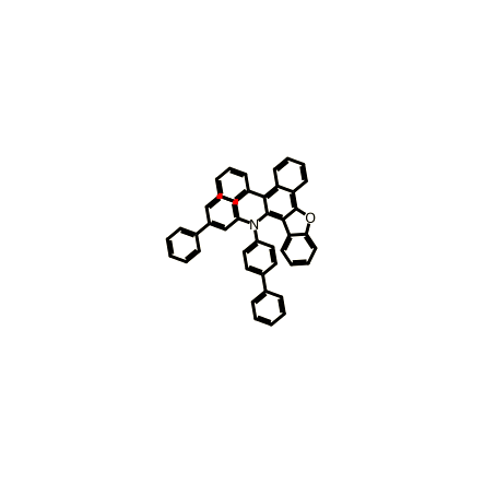 c1ccc(-c2ccc(N(c3cccc(-c4ccccc4)c3)c3c(-c4ccccc4)c4ccccc4c4oc5ccccc5c34)cc2)cc1